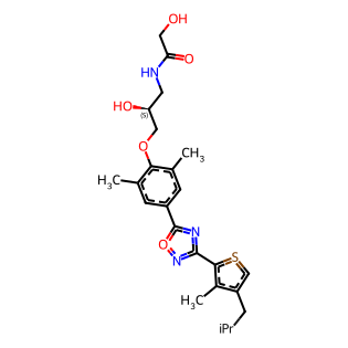 Cc1cc(-c2nc(-c3scc(CC(C)C)c3C)no2)cc(C)c1OC[C@@H](O)CNC(=O)CO